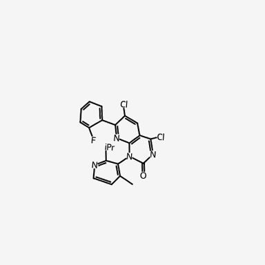 Cc1ccnc(C(C)C)c1-n1c(=O)nc(Cl)c2cc(Cl)c(-c3ccccc3F)nc21